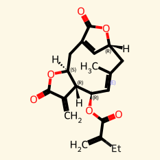 C=C(CC)C(=O)O[C@@H]1/C=C(\C)C[C@@H]2C=C(C[C@@H]3OC(=O)C(=C)[C@H]31)C(=O)O2